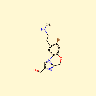 CNCCc1cc2c(cc1Br)OCc1nc(C=O)cn1-2